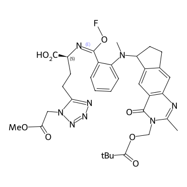 COC(=O)Cn1nnnc1CC[C@H](/N=C(/OF)c1ccccc1N(C)C1CCc2cc3nc(C)n(COC(=O)C(C)(C)C)c(=O)c3cc21)C(=O)O